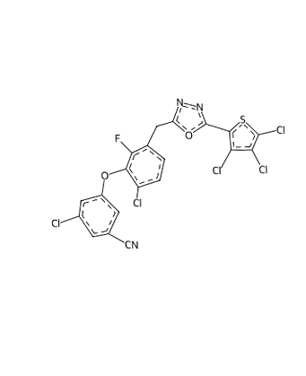 N#Cc1cc(Cl)cc(Oc2c(Cl)ccc(Cc3nnc(-c4sc(Cl)c(Cl)c4Cl)o3)c2F)c1